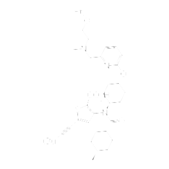 CCOCCN(C)Cc1cccc(O[C@H]2CC[C@H](N(c3cc(C#CC(C)(C)C)sc3C(=O)O)C(=O)[C@H]3CC[C@H](C)CC3)CC2)n1